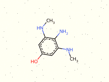 CNc1cc(O)cc(NC)c1N